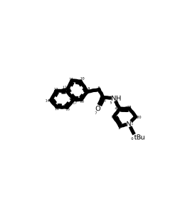 CC(C)(C)N1C=CC(NC(=O)Cc2ccc3ccccc3c2)=CC1